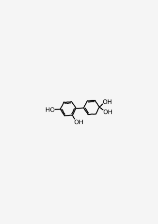 Oc1ccc(C2=CCC(O)(O)C=C2)c(O)c1